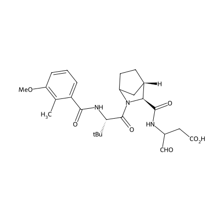 COc1cccc(C(=O)N[C@H](C(=O)N2C3CC[C@@H](C3)[C@H]2C(=O)NC(C=O)CC(=O)O)C(C)(C)C)c1C